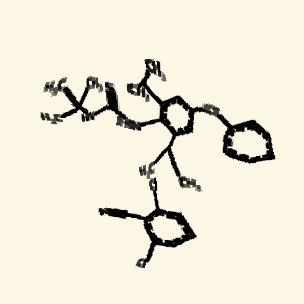 CC(C)c1cc(Oc2ccccc2)cc(C(C)C)c1NC(=S)NC(C)(C)C.N#Cc1c(Cl)cccc1Cl